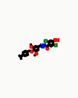 COc1cc(/C=N/NC(=O)c2cc(Cl)c(O)cc2Cl)cc(OC)c1OCc1ccc(C(C)C)cc1